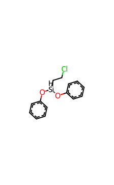 ClCC[SiH](Oc1ccccc1)Oc1ccccc1